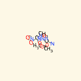 COC[C@@H](C)Oc1cc(NC(=O)N(C)c2ccc(CN3CCOCC3=O)c(C=O)n2)ncc1C#N